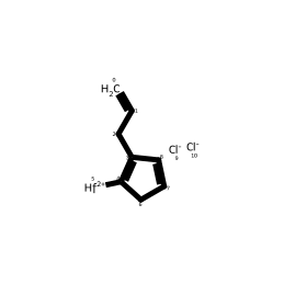 C=CCC1=[C]([Hf+2])CC=C1.[Cl-].[Cl-]